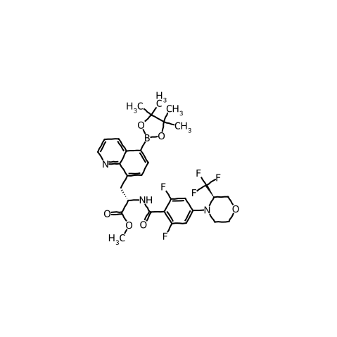 COC(=O)[C@H](Cc1ccc(B2OC(C)(C)C(C)(C)O2)c2cccnc12)NC(=O)c1c(F)cc(N2CCOC[C@@H]2C(F)(F)F)cc1F